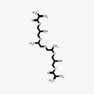 C=C(C)C(=O)OCC(O)COC(C)COCC(C)OCC(O)COC(=O)C(=C)C